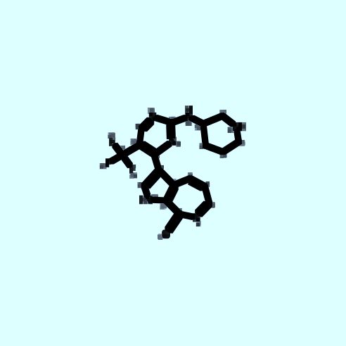 O=c1ncccc2c(-c3nc(NC4CCCNC4)ncc3C(F)(F)F)c[nH]c12